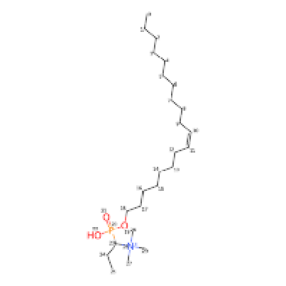 CCCCCCCCCC/C=C\CCCCCCCOP(=O)(O)C(CC)[N+](C)(C)C